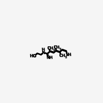 C\C(=C/C(C)=C(C)/C=C\S)C(=N)NCCO